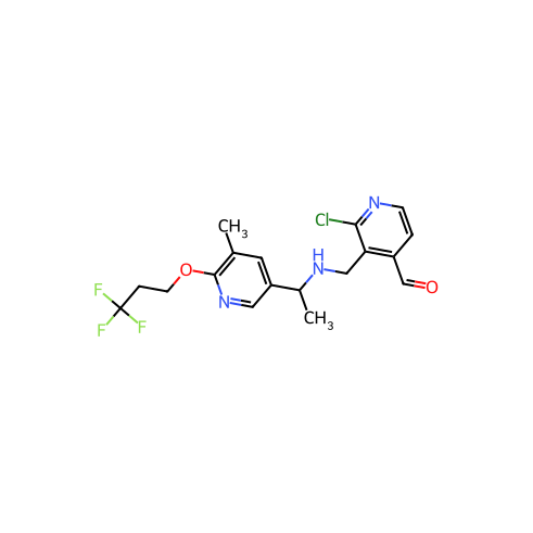 Cc1cc(C(C)NCc2c(C=O)ccnc2Cl)cnc1OCCC(F)(F)F